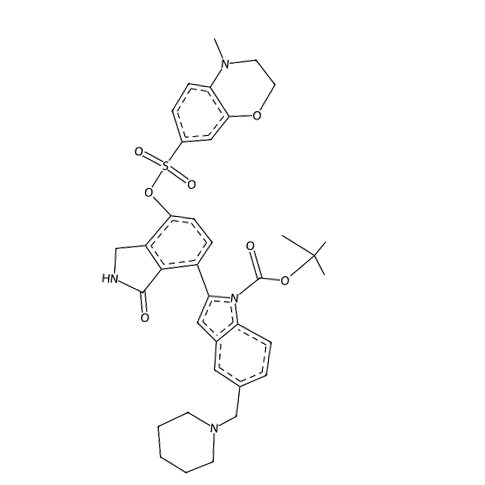 CN1CCOc2cc(S(=O)(=O)Oc3ccc(-c4cc5cc(CN6CCCCC6)ccc5n4C(=O)OC(C)(C)C)c4c3CNC4=O)ccc21